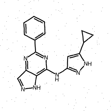 c1ccc(-c2nc(Nc3cc(C4CC4)[nH]n3)c3[nH]ncc3n2)cc1